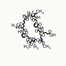 CCOC(=O)/C=C/CC[C@H](NC(=O)CCC(=O)O)C(=O)Nc1cccn(CC(=O)N[C@H](C(=O)OC)[C@H](C)CC)c1=O.CC[C@@H](C)[C@H](NC(=O)Cn1cccc(NC(=O)C(CCC=CC(=O)O)NC(C)=O)c1=O)C(=O)OC